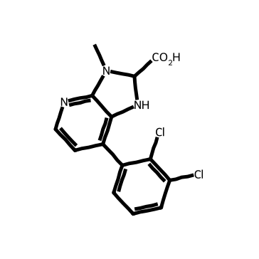 CN1c2nccc(-c3cccc(Cl)c3Cl)c2NC1C(=O)O